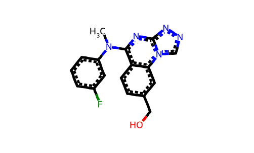 CN(c1cccc(F)c1)c1nc2nncn2c2cc(CO)ccc12